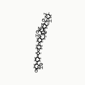 Cc1cccc(NC(=O)c2ncc(-c3nn4c(c3C(N)=O)Nc3ccc(N5CCN(C6CC(c7ccc([C@@H]8CCC(=O)NC8=O)cc7)C6)CC5)cc3CC4)cc2C)n1